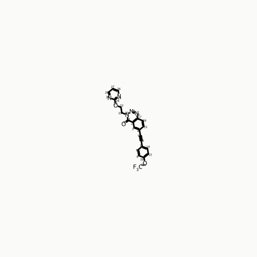 O=c1c2cc(C#Cc3ccc(OC(F)(F)F)cc3)ccc2nnn1CCOc1ncccn1